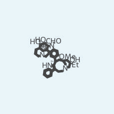 CC[C@]1(O)CC2CN(CCc3c([nH]c4ccccc34)[C@@](C)(c3cc4c(cc3OC)N(C)C3[C@]45CCN4CC=C[C@](CC)([C@@H]45)[C@@H](O)[C@]3(O)C=O)C2)C1